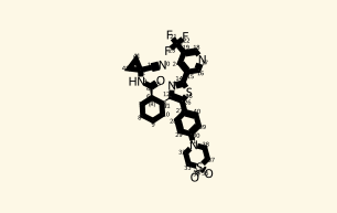 N#CC1(NC(=O)[C@@H]2CCCC[C@H]2c2nc(-c3cncc(C(F)(F)F)c3)sc2-c2ccc(N3CCS(=O)(=O)CC3)cc2)CC1